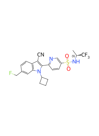 C[C@H](NS(=O)(=O)c1ccc(-c2c(C#N)c3ccc(CF)cc3n2C2CCC2)nc1)C(F)(F)F